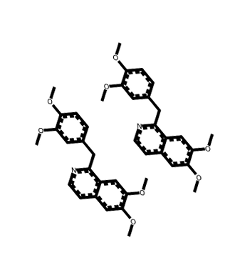 COc1ccc(Cc2nccc3cc(OC)c(OC)cc23)cc1OC.COc1ccc(Cc2nccc3cc(OC)c(OC)cc23)cc1OC